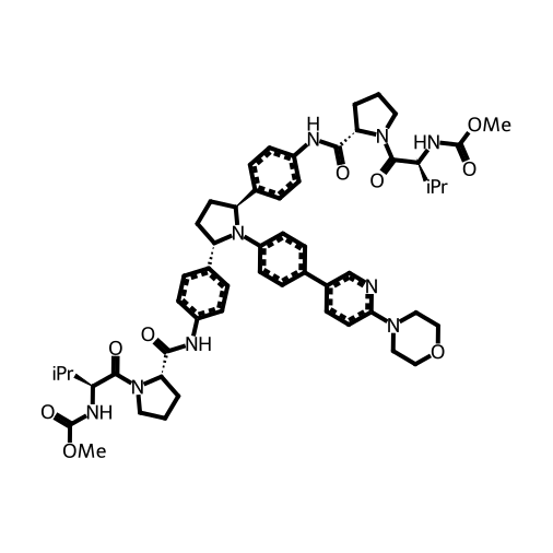 COC(=O)N[C@H](C(=O)N1CCC[C@H]1C(=O)Nc1ccc([C@@H]2CC[C@@H](c3ccc(NC(=O)[C@@H]4CCCN4C(=O)[C@@H](NC(=O)OC)C(C)C)cc3)N2c2ccc(-c3ccc(N4CCOCC4)nc3)cc2)cc1)C(C)C